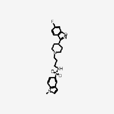 Cn1ccc2cc(S(=O)(=O)NCCCN3CCC(c4noc5cc(F)ccc45)CC3)ccc21